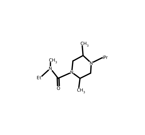 CCN(C)C(=O)N1CC(C)N(C(C)C)CC1C